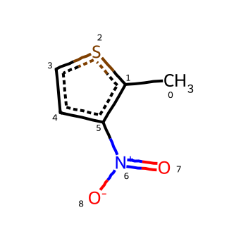 Cc1sccc1[N+](=O)[O-]